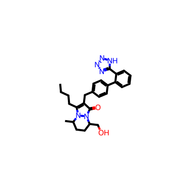 CCCCc1c(Cc2ccc(-c3ccccc3-c3nnn[nH]3)cc2)c(=O)n2n1C(C)CCC2CO